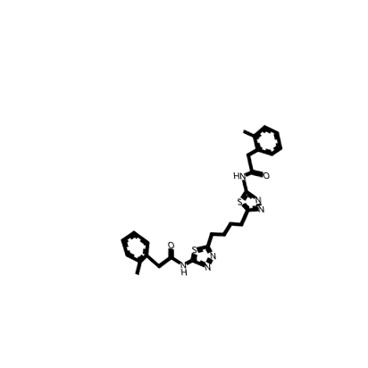 Cc1ccccc1CC(=O)Nc1nnc(CCCCc2nnc(NC(=O)Cc3ccccc3C)s2)s1